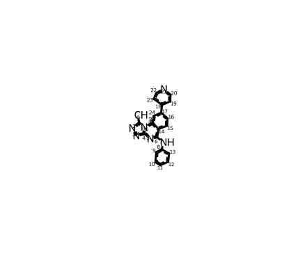 Cc1nnc2nc(Nc3ccccc3)c3ccc(-c4ccncc4)cc3n12